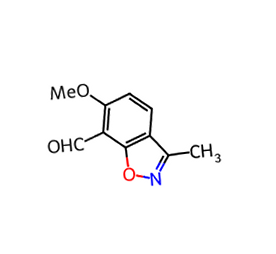 COc1ccc2c(C)noc2c1C=O